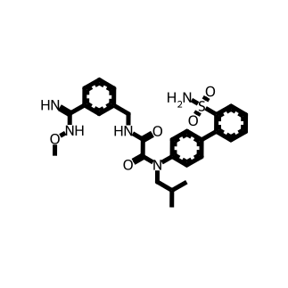 CONC(=N)c1cccc(CNC(=O)C(=O)N(CC(C)C)c2ccc(-c3ccccc3S(N)(=O)=O)cc2)c1